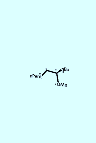 CCCCCC[C@@H](CCCC)OC